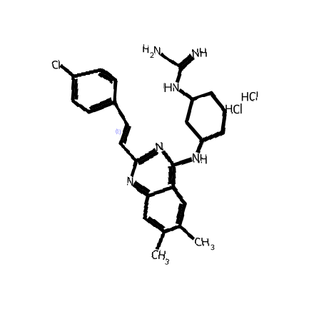 Cc1cc2nc(/C=C/c3ccc(Cl)cc3)nc(NC3CCCC(NC(=N)N)C3)c2cc1C.Cl.Cl